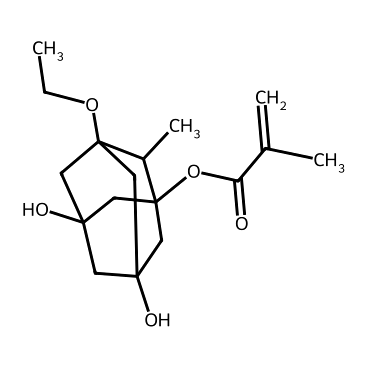 C=C(C)C(=O)OC12CC3(O)CC(O)(CC(OCC)(C3)C1C)C2